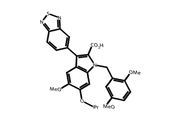 COc1ccc(OC)c(Cn2c(C(=O)O)c(-c3ccc4nsnc4c3)c3cc(OC)c(OC(C)C)cc32)c1